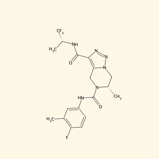 Cc1cc(NC(=O)N2Cc3c(C(=O)N[C@H](C)C(F)(F)F)nnn3C[C@@H]2C)ccc1F